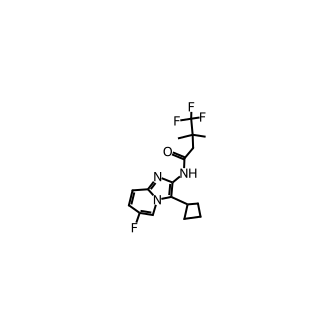 CC(C)(CC(=O)Nc1nc2ccc(F)cn2c1C1CCC1)C(F)(F)F